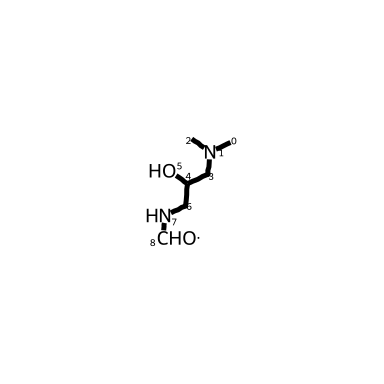 CN(C)CC(O)CN[C]=O